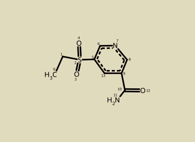 CCS(=O)(=O)c1cncc(C(N)=O)c1